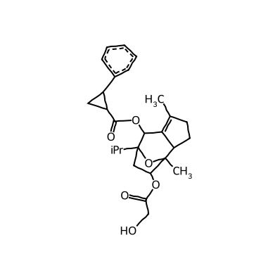 CC1=C2C(CC1)C1(C)OC(C(C)C)(CC1OC(=O)CO)C2OC(=O)C1CC1c1ccccc1